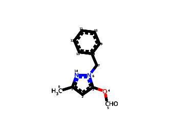 Cc1cc(OC=O)n(Cc2ccccc2)n1